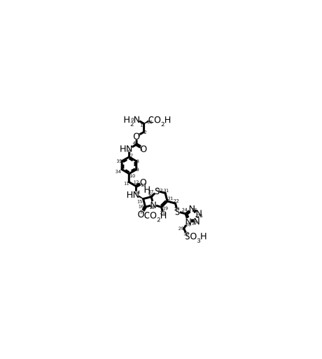 N[C@H](COC(=O)Nc1ccc(CC(=O)N[C@@H]2C(=O)N3C(C(=O)O)=C(CSc4nnnn4CS(=O)(=O)O)CS[C@H]23)cc1)C(=O)O